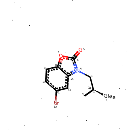 CO[C@@H](C)Cn1c(=O)oc2ccc(Br)cc21